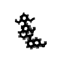 CCc1cccc(CC)c1-c1cc(OC)c2c(n1)CCCC2N(C)c1cccc2cc(OC)ccc12